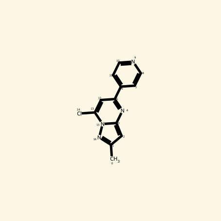 Cc1cc2nc(-c3ccncc3)cc(Cl)n2n1